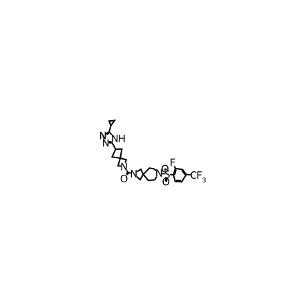 O=C(N1CC2(CCN(S(=O)(=O)c3ccc(C(F)(F)F)cc3F)CC2)C1)N1CC2(CC(c3nnc(C4CC4)[nH]3)C2)C1